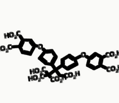 O=C(O)CC(c1ccc(Oc2ccc(C(=O)O)c(C(=O)O)c2)cc1)(c1ccc(Oc2ccc(C(=O)O)c(C(=O)O)c2)cc1)C(C(=O)O)(C(=O)O)C(=O)O